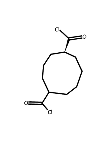 O=C(Cl)C1CCCC[C@H](C(=O)Cl)CCC1